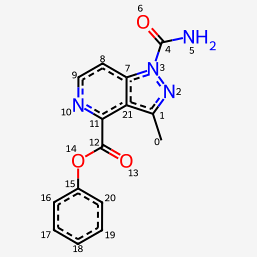 Cc1nn(C(N)=O)c2ccnc(C(=O)Oc3ccccc3)c12